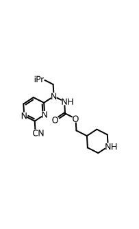 CC(C)CN(NC(=O)OCC1CCNCC1)c1ccnc(C#N)n1